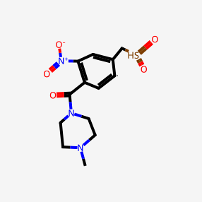 CN1CCN(C(=O)c2c[c]c(C[SH](=O)=O)cc2[N+](=O)[O-])CC1